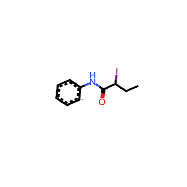 CCC(I)C(=O)Nc1[c]cccc1